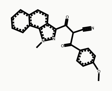 COc1ccc(C(=O)C(C#N)C(=O)c2nn(C)c3c2ccc2ccccc23)cc1